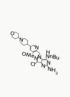 CCCCNc1nc(N)nc2c(Cl)nn(Cc3ncc(C4CCN(C5CCOCC5)CC4)cc3OC)c12